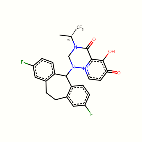 C[C@@H](N1CN(C2c3ccc(F)cc3CCc3cc(F)ccc32)n2ccc(=O)c(O)c2C1=O)C(F)(F)F